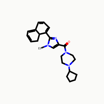 CCn1cc(C(=O)N2CCN(C3CCCC3)CC2)nc1C1=CC=CC2=CC=CCC21